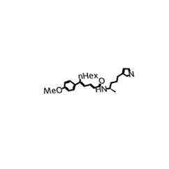 CCCCCC/C(=C\C=C\C(=O)N[C@H](C)CCCC1=CC=NC1)c1ccc(OC)cc1